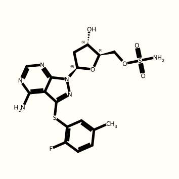 Cc1ccc(F)c(Sc2nn([C@H]3C[C@H](O)[C@@H](COS(N)(=O)=O)O3)c3ncnc(N)c23)c1